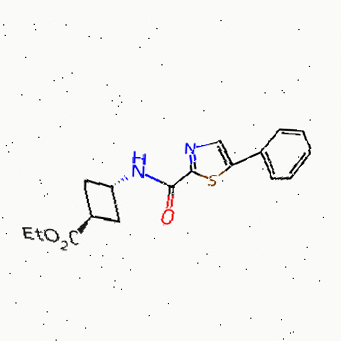 CCOC(=O)[C@H]1C[C@H](NC(=O)c2ncc(-c3ccccc3)s2)C1